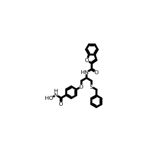 O=C(NO)c1ccc(OCC(CSCc2ccccc2)NC(=O)c2cc3ccccc3o2)cc1